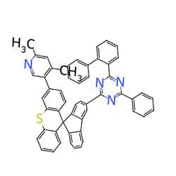 Cc1cc(C)c(-c2ccc3c(c2)Sc2ccccc2C32c3ccccc3-c3cc(-c4nc(-c5ccccc5)nc(-c5ccccc5-c5ccccc5)n4)ccc32)cn1